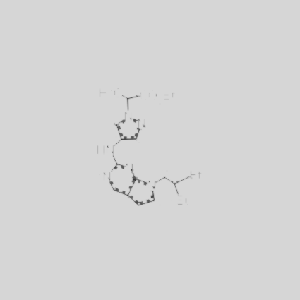 CCOC(=O)C(C)n1cc(Nc2ncc3ccn(CC(CC)CC)c3n2)cn1